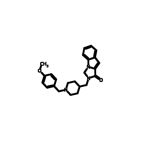 COc1ccc(CN2CCC(CN3Cn4c(cc5ccccc54)C3=O)CC2)cc1